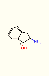 NC1Cc2ccccc2[C@@H]1O